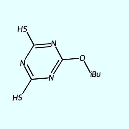 CCC(C)Oc1nc(S)nc(S)n1